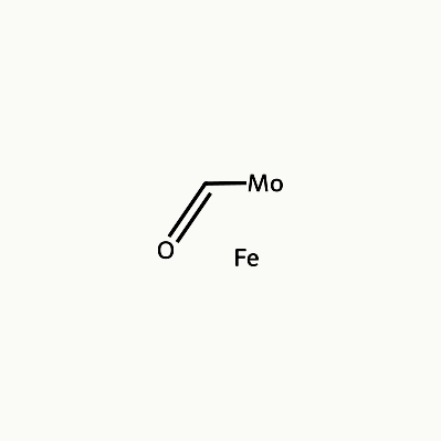 O=[CH][Mo].[Fe]